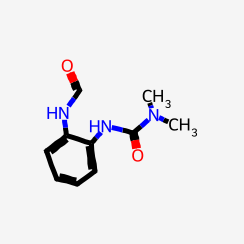 CN(C)C(=O)Nc1ccccc1NC=O